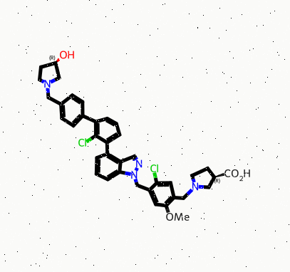 COc1cc(Cn2ncc3c(-c4cccc(-c5ccc(CN6CC[C@@H](O)C6)cc5)c4Cl)cccc32)c(Cl)cc1CN1CC[C@@H](C(=O)O)C1